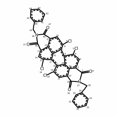 O=C1c2cc(Cl)c3c4c(Cl)cc5c6c(cc(Cl)c(c7c(Cl)cc(c2c37)C(=O)N1Cc1ccccc1)c64)C(=O)N(Cc1ccccc1)C5=O